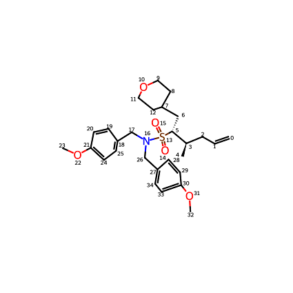 C=CC[C@@H](C)[C@@H](CC1CCOCC1)S(=O)(=O)N(Cc1ccc(OC)cc1)Cc1ccc(OC)cc1